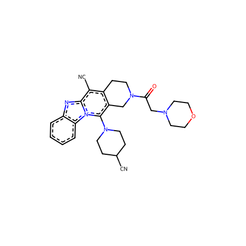 N#Cc1c2c(c(N3CCC(C#N)CC3)n3c1nc1ccccc13)CN(C(=O)CN1CCOCC1)CC2